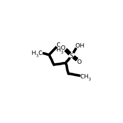 CCC(CC(C)C)S(=O)(=O)O